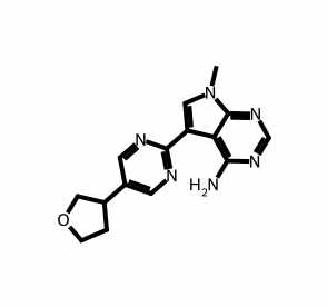 Cn1cc(-c2ncc(C3CCOC3)cn2)c2c(N)ncnc21